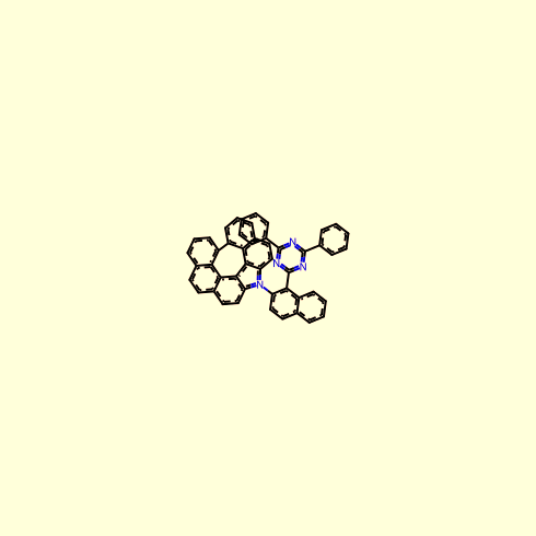 c1ccc(-c2nc(-c3ccccc3)nc(-c3c(-n4c5ccc6cccc7c6c5c5c6c(ccc8cccc-7c86)ccc54)ccc4ccccc34)n2)cc1